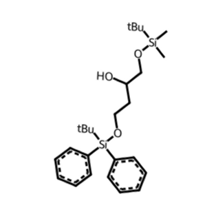 CC(C)(C)[Si](C)(C)OCC(O)CCO[Si](c1ccccc1)(c1ccccc1)C(C)(C)C